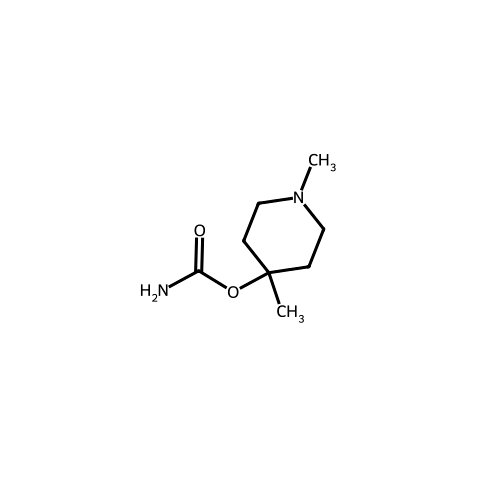 CN1CCC(C)(OC(N)=O)CC1